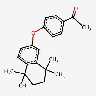 CC(=O)c1ccc(Oc2ccc3c(c2)C(C)(C)CCC3(C)C)cc1